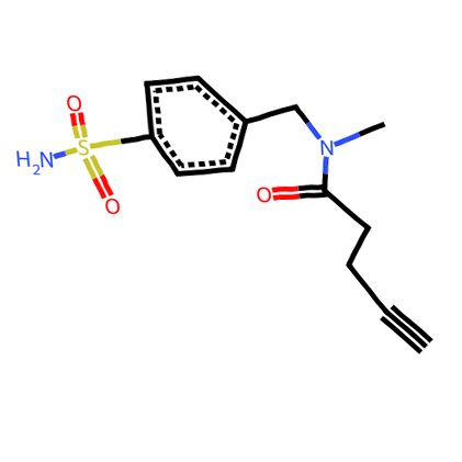 C#CCCC(=O)N(C)Cc1ccc(S(N)(=O)=O)cc1